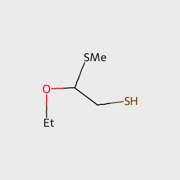 CCOC(CS)SC